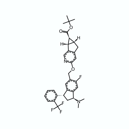 CN(C)[C@H]1C[C@H](c2ccccc2C(F)(F)F)c2cc(COc3cc4c(cn3)[C@H]3[C@@H](C4)[C@@H]3C(=O)OC(C)(C)C)c(F)cc21